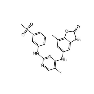 Cc1cnc(Nc2cccc(S(C)(=O)=O)c2)nc1Nc1cc(C)c2oc(=O)[nH]c2c1